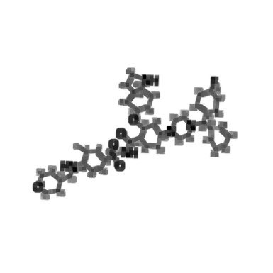 Cc1cc(S(=O)(=O)NC(=O)c2ccc(N3CCN(C(c4ccccc4)c4ccc(F)cc4)CC3)cc2Oc2ccc3[nH]ccc3c2)ccc1NCC1CCOCC1